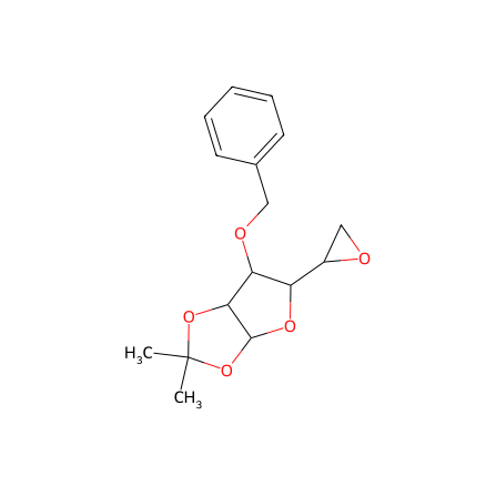 CC1(C)OC2OC(C3CO3)C(OCc3ccccc3)C2O1